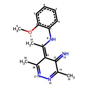 COc1ccccc1N/C(C)=C1\C(=N)C(C)=NN=C1C